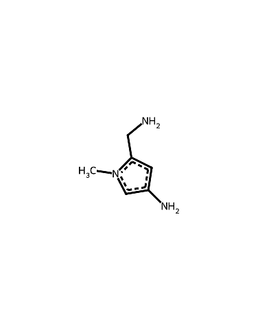 Cn1cc(N)cc1CN